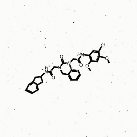 COc1cc(OC)c(NC(=O)CN2C(=O)N(CC(=O)NC3Cc4ccccc4C3)Cc3ccccc32)cc1Cl